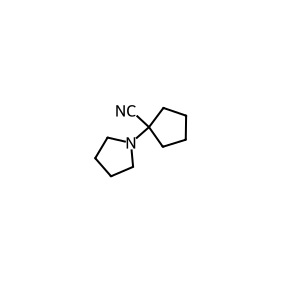 N#CC1(N2CCCC2)CCCC1